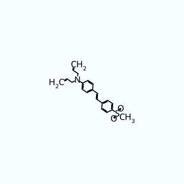 C=CCN(CC=C)c1ccc(C=Cc2ccc(S(C)(=O)=O)cc2)cc1